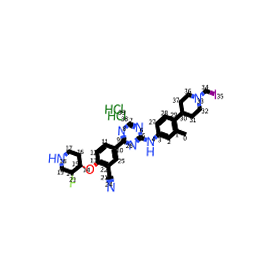 Cc1cc(Nc2ncnc(-c3ccc(O[C@H]4CCNC[C@H]4F)c(C#N)c3)n2)ccc1C1CCN(CI)CC1.Cl.Cl